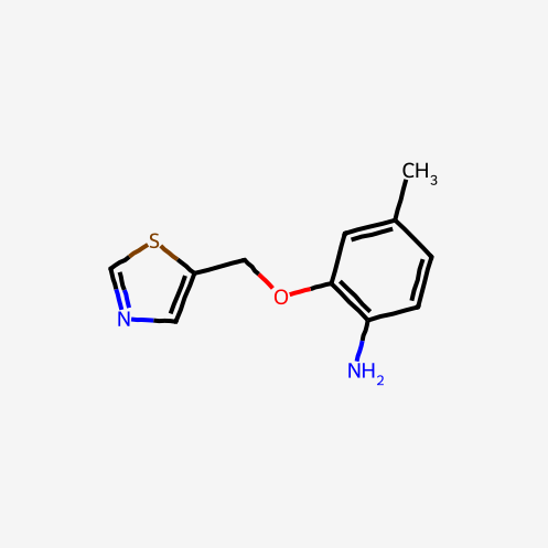 Cc1ccc(N)c(OCc2cncs2)c1